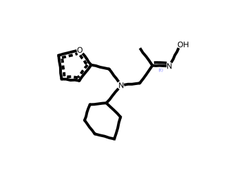 C/C(CN(Cc1ccco1)C1CCCCC1)=N\O